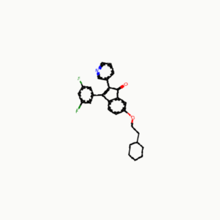 O=C1C(c2cccnc2)=C(c2cc(F)cc(F)c2)c2ccc(OCCC3CCCCC3)cc21